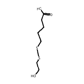 O=C(O)CCCCSSCCO